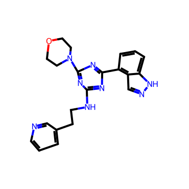 c1cncc(CCNc2nc(-c3cccc4[nH]ncc34)nc(N3CCOCC3)n2)c1